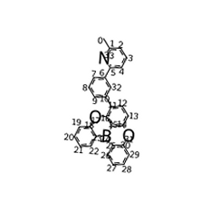 Cc1cccc(-c2cccc(-c3ccc4c5c3Oc3ccccc3B5c3ccccc3O4)c2)n1